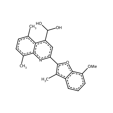 COc1cccc2c(C)c(-c3cc(C(O)O)c4c(C)ccc(C)c4n3)oc12